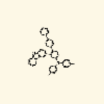 Cc1ccc(N(c2ccc(C)cc2)c2ccc(-c3ccc(-c4ccccc4)cc3)c(-c3ccc4oc5ccccc5c4c3)c2)cc1